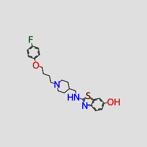 Oc1ccc2nc(NCC3CCN(CCCCOc4ccc(F)cc4)CC3)sc2c1